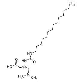 CCCCCCCCCCCCCCNC(=O)N[C@H](CC(=O)O)CN(C)C